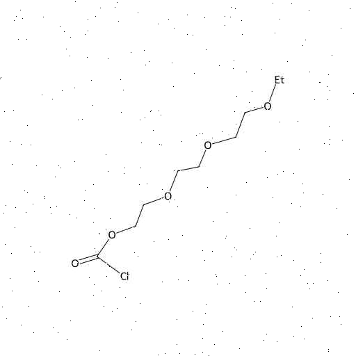 CCOCCOCCOCCOC(=O)Cl